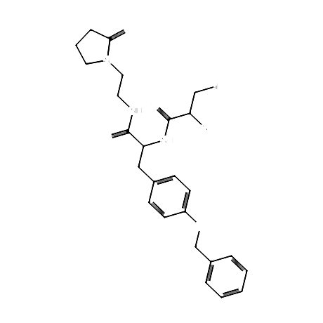 CC(C)CC(N)C(=O)NC(Cc1ccc(OCc2ccccc2)cc1)C(=O)NCCN1CCCC1=O